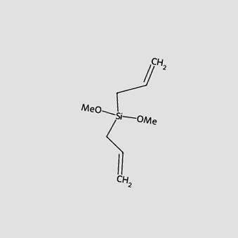 C=CC[Si](CC=C)(OC)OC